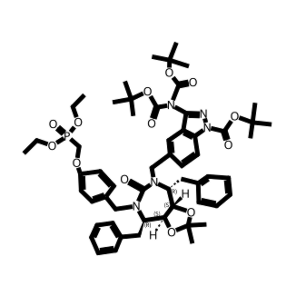 CCOP(=O)(COc1ccc(CN2C(=O)N(Cc3ccc4c(c3)c(N(C(=O)OC(C)(C)C)C(=O)OC(C)(C)C)nn4C(=O)OC(C)(C)C)[C@H](Cc3ccccc3)[C@@H]3OC(C)(C)O[C@H]3[C@H]2Cc2ccccc2)cc1)OCC